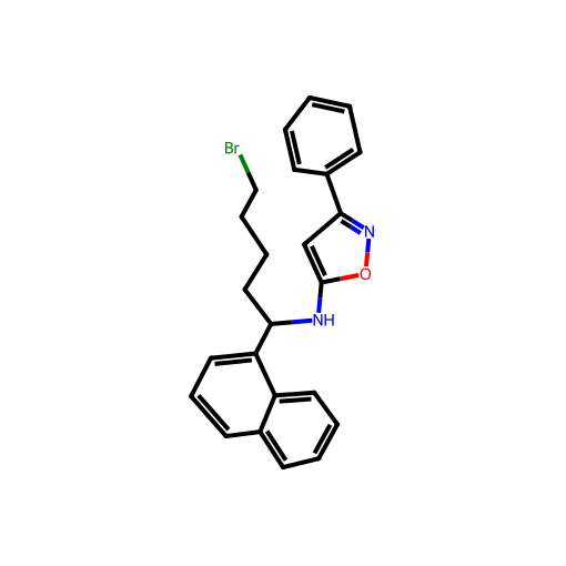 BrCCCCC(Nc1cc(-c2ccccc2)no1)c1cccc2ccccc12